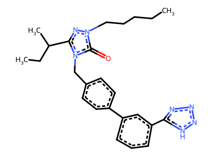 CCCCCn1nc(C(C)CC)n(Cc2ccc(-c3cccc(-c4nnn[nH]4)c3)cc2)c1=O